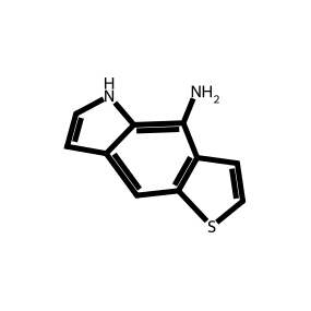 Nc1c2ccsc2cc2cc[nH]c12